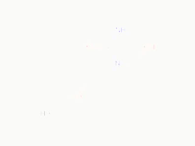 C=COCCN(CO)C(N)=O